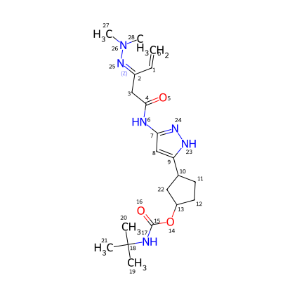 C=C/C(CC(=O)Nc1cc(C2CCC(OC(=O)NC(C)(C)C)C2)[nH]n1)=N\N(C)C